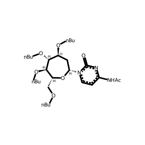 CCCCOC[C@H]1O[C@@H](n2ccc(NC(C)=O)nc2=O)C[C@H](OCCCC)[C@@H](OCCCC)[C@@H]1OCCCC